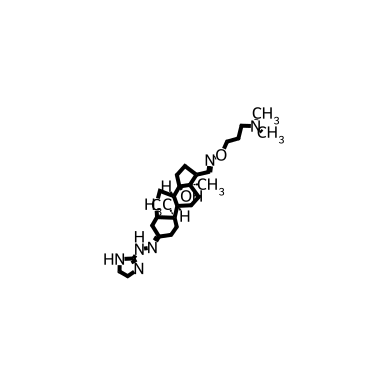 CN(C)CCCON=CC1CC[C@@]2(O)[C@@H]3CCC4CC(=NNC5=NCCN5)CC[C@]4(C)[C@@H]3CC[C@]12C